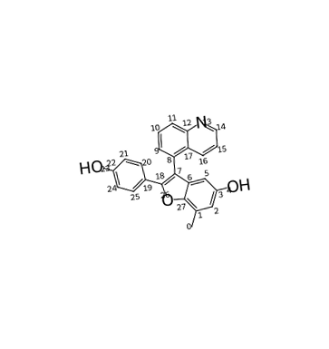 Cc1cc(O)cc2c(-c3cccc4ncccc34)c(-c3ccc(O)cc3)oc12